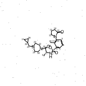 [CH2][C@H](NS(=O)(=O)c1cccc(N2CCCC2=O)c1C)C(=O)N1CCN(CC2CC2)CC1